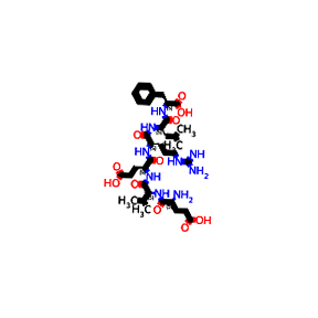 CC(C)C[C@H](NC(=O)[C@H](CCCNC(=N)N)NC(=O)[C@H](CCC(=O)O)NC(=O)[C@@H](NC(=O)[C@@H](N)CCC(=O)O)C(C)C)C(=O)N[C@@H](Cc1ccccc1)C(=O)O